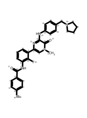 Cn1cc(-c2cccc(NC(=O)c3ccc(C(C)(C)C)cc3)c2F)nc(Nc2ccc(CN3CCCC3)cc2)c1=O